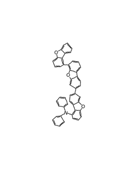 c1ccc(N(c2ccccc2)c2cccc3oc4cc(-c5ccc6c(c5)oc5c(-c7cccc8oc9ccccc9c78)cccc56)ccc4c23)cc1